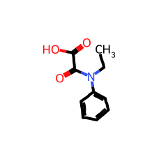 CCN(C(=O)C(=O)O)c1ccccc1